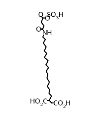 O=C(O)CC(CCCCCCCCCCCCCCCCCCNC(=O)CCC(=O)OS(=O)(=O)O)C(=O)O